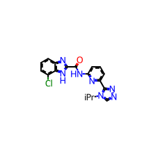 CC(C)n1cnnc1-c1cccc(NC(=O)c2nc3cccc(Cl)c3[nH]2)n1